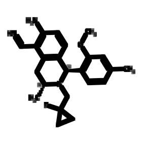 COc1cc(C)ccc1[C@@H]1c2ccc(N)c(C=N)c2C[C@@H](C)N1CC1(F)CC1